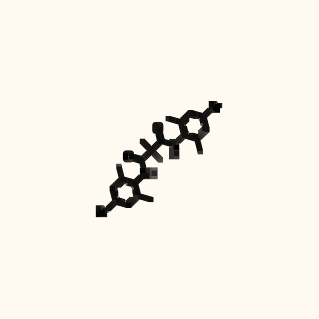 Cc1cc(Br)cc(C)c1NC(=O)C(C)(C)C(=O)Nc1c(C)cc(Br)cc1C